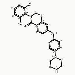 O=C1c2ccc(Nc3ccc(N4CCNCC4)cc3)nc2SCN1c1c(Cl)cccc1Cl